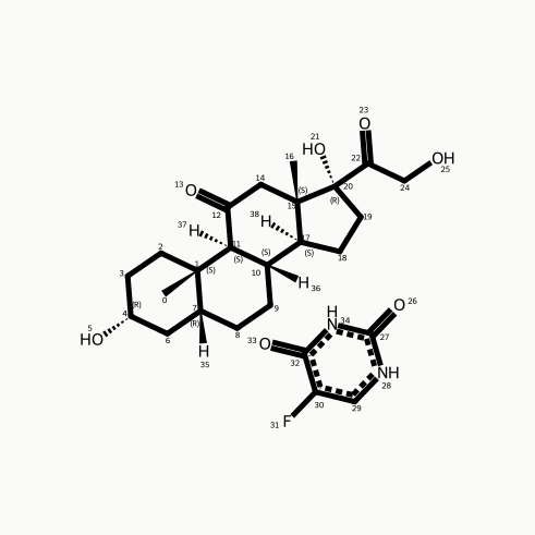 C[C@]12CC[C@@H](O)C[C@H]1CC[C@@H]1[C@@H]2C(=O)C[C@@]2(C)[C@H]1CC[C@]2(O)C(=O)CO.O=c1[nH]cc(F)c(=O)[nH]1